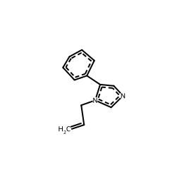 C=CCn1cncc1-c1ccccc1